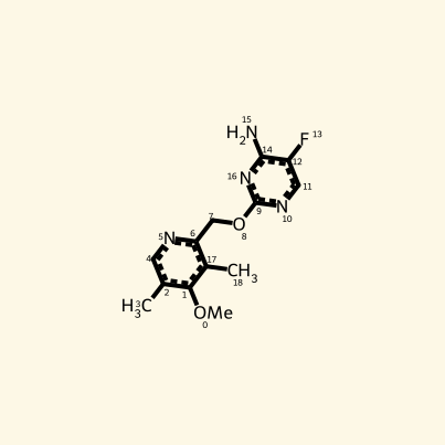 COc1c(C)cnc(COc2ncc(F)c(N)n2)c1C